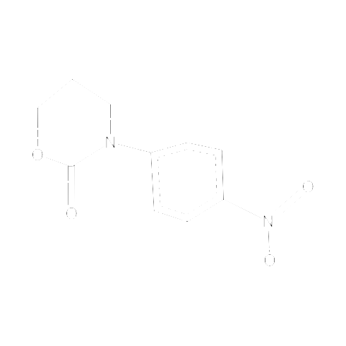 O=C1OCCCN1c1ccc([N+](=O)[O-])cc1